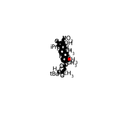 CC(C)C1=C2[C@H]3CC[C@@H]4[C@@]5(C)CC[C@H](OC(=O)CC(C)(C)C(=O)OC(C)(C)C)C(C)(C)[C@@H]5CC[C@@]4(C)[C@]3(C)CCC2(C(O)C[N+](=O)[O-])CC1=O